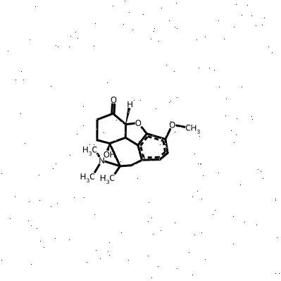 COc1ccc2c3c1O[C@H]1C(=O)CC[C@](O)(C31)C(C)(N(C)C)C2